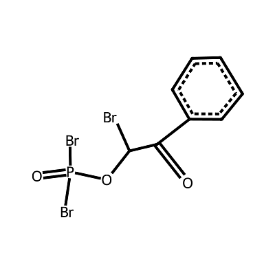 O=C(c1ccccc1)C(Br)OP(=O)(Br)Br